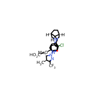 COc1cc(N2C[C@H]3CC[C@@H](C2)[C@@H]3Cc2ccc(N3N=C(C(F)(F)F)[C@@H](C)[C@@H]3CC(=O)O)cc2)c(Cl)cn1